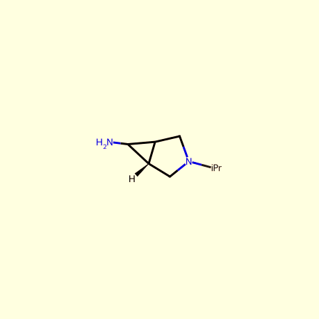 CC(C)N1CC2C(N)[C@H]2C1